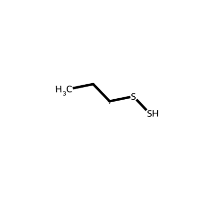 CC[CH]SS